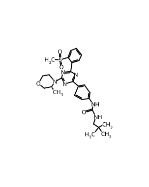 C[C@H]1COCCN1c1nc(-c2ccc(NC(=O)NCC(C)(C)C)cc2)nc(-c2ccccc2S(C)(=O)=O)n1